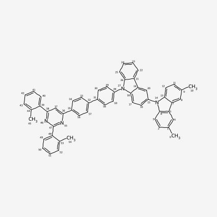 Cc1ccc2c(c1)c1cc(C)ccc1n2-c1ccc2c(c1)c1ccccc1n2-c1ccc(-c2ccc(-c3cc(-c4ccccc4C)nc(-c4ccccc4C)n3)cc2)cc1